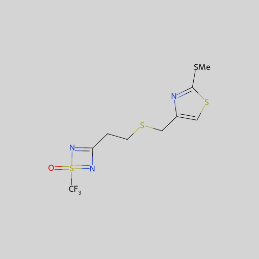 CSc1nc(CSCCC2=NS(=O)(C(F)(F)F)=N2)cs1